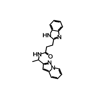 CC(NC(=O)CCc1nc2ccccc2[nH]1)c1cc2ccccn2n1